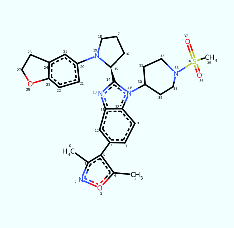 Cc1noc(C)c1-c1ccc2c(c1)nc([C@@H]1CCCN1c1ccc3c(c1)CCO3)n2C1CCN(S(C)(=O)=O)CC1